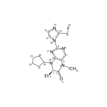 CC[C@@H]1C(=O)N(C)c2cnc(-n3ccnc3CF)nc2N1C1CCCC1